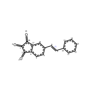 O=c1c(=O)c2ccc(/C=C/c3ccccc3)cc2c1=O